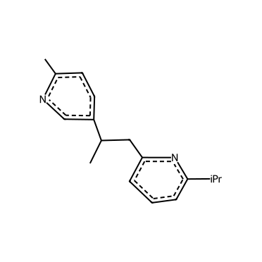 Cc1ccc(C(C)Cc2cccc(C(C)C)n2)cn1